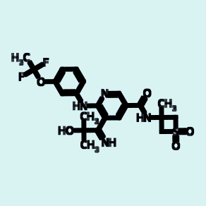 CC1(NC(=O)c2cnc(Nc3cccc(OC(C)(F)F)c3)c(C(=N)C(C)(C)O)c2)CS(=O)(=O)C1